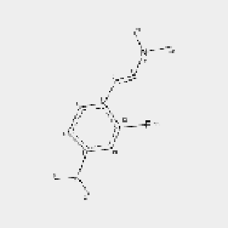 CC(C)c1ccc(C=CN(C)C)c(F)c1